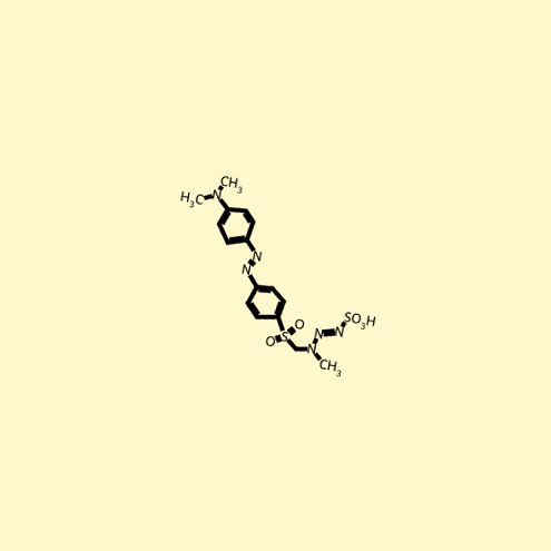 CN(CS(=O)(=O)c1ccc(N=Nc2ccc(N(C)C)cc2)cc1)N=NS(=O)(=O)O